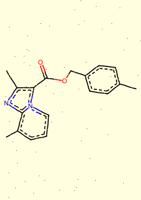 Cc1ccc(COC(=O)c2c(C)nc3c(C)cccn23)cc1